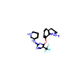 FC(F)(F)c1cnc(NC2CCCNC2)nc1Oc1cccc2c1NCC2